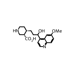 COc1ccc2nccc(C(O)CC[C@@H]3CCNC[C@@H]3C(=O)O)c2c1